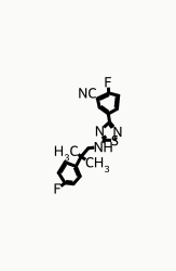 CC(C)(CNc1nc(-c2ccc(F)c(C#N)c2)ns1)c1ccc(F)cc1